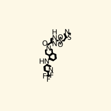 O=C(c1c[nH]c(S(=O)(=O)Cc2cncs2)n1)N1CCc2c(cccc2Nc2ccc(C(F)(F)F)nc2)C1